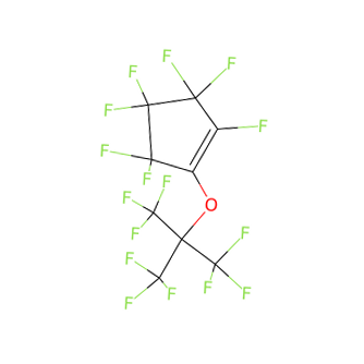 FC1=C(OC(C(F)(F)F)(C(F)(F)F)C(F)(F)F)C(F)(F)C(F)(F)C1(F)F